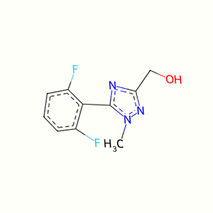 Cn1nc(CO)nc1-c1c(F)cccc1F